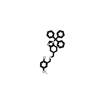 FC(F)(F)c1ccc(Cl)c(COCC2CCc3c(ncn3C(c3ccccc3)(c3ccccc3)c3ccccc3)C2)c1